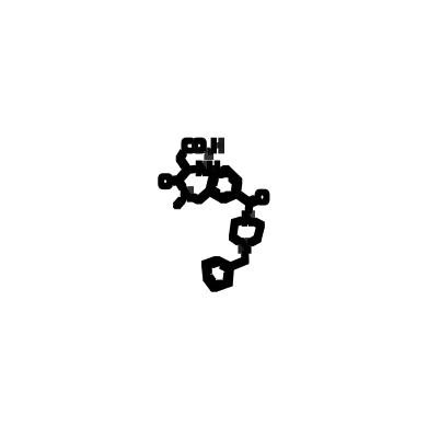 CN1Cc2cc(C(=O)N3CCN(Cc4ccccc4)CC3)ccc2NC(CC(=O)O)C1=O